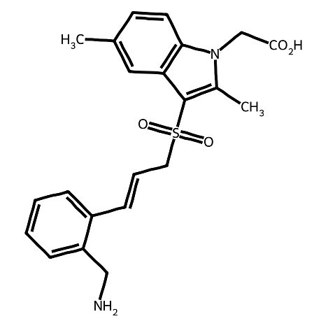 Cc1ccc2c(c1)c(S(=O)(=O)CC=Cc1ccccc1CN)c(C)n2CC(=O)O